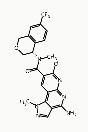 CN(C(=O)c1cc2c(nc1Cl)nc(N)c1cnn(C)c12)[C@@H]1COCc2cc(C(F)(F)F)ccc21